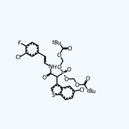 CC(C)(C)C(=O)OCOP(=O)(OCOC(=O)C(C)(C)C)C(C(=O)NC=Cc1ccc(F)c(Cl)c1)c1csc2ccc(Cl)cc12